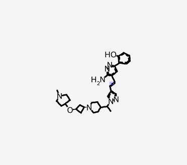 CC(C1CCN([C@H]2C[C@H](OC3CCN(C)CC3)C2)CC1)n1cc(/C=C/c2cc(-c3ccccc3O)nnc2N)cn1